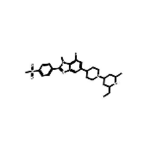 CCC1CC(N2CCC(c3cc(F)c4c(c3)nc(-c3ccc(S(C)(=O)=O)cc3)n4C)CC2)CC(C)N1